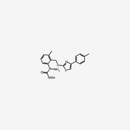 CNC(=O)N(N)c1cccc(C)c1COc1nc(-c2ccc(C)cc2)cs1